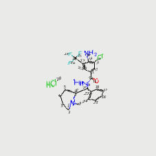 CN1CCCCC1C(NC(=O)c1cc(Cl)c(N)c(C(F)(F)F)c1)c1ccccc1.Cl